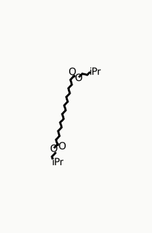 CC(C)CCOC(=O)CCCCCCCCCCCCCCCC(=O)OCCC(C)C